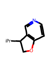 CC(C)C1COc2ccncc21